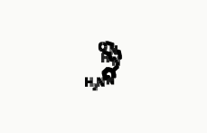 Nc1ccc(CN2CCN3CCOC[C@H]3C2)cn1